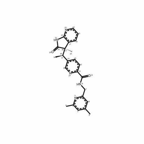 Cc1cc(C)nc(CNC(=O)c2ccc([C@@H](C)[C@@]3(C)C(=O)Nc4ncccc43)cn2)c1